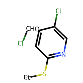 CCSc1ccc(Cl)cn1.O=CCl